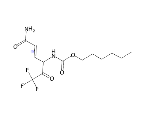 CCCCCCOC(=O)NC(/C=C/C(N)=O)C(=O)C(F)(F)F